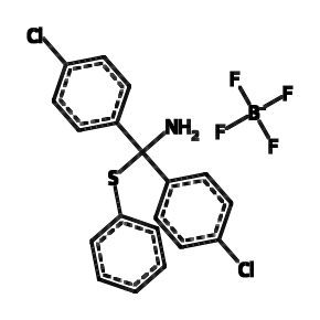 F[B-](F)(F)F.NC(Sc1ccccc1)(c1ccc(Cl)cc1)c1ccc(Cl)cc1